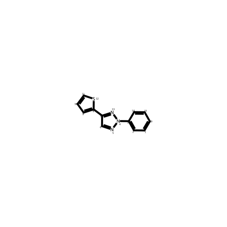 c1ccc(-n2ncc(-c3cccs3)n2)cc1